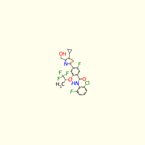 CC(Oc1cc(-c2nc(CO)c(C3CC3)s2)c(F)cc1C(=O)Nc1c(F)cccc1Cl)C(F)(F)F